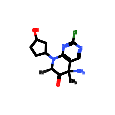 CC[C@@H]1C(=O)C(C)(N)c2cnc(Cl)nc2N1C1CCC(O)C1